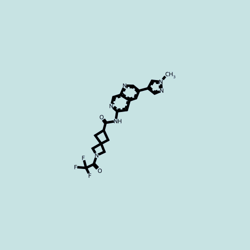 Cn1cc(-c2cnc3cnc(NC(=O)C4CC5(C4)CN(C(=O)C(F)(F)F)C5)cc3c2)cn1